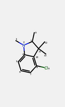 CC1N(C)c2cccc(Cl)c2C1(C)C